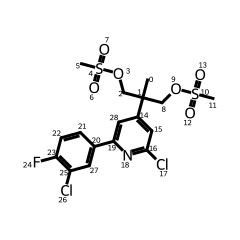 CC(COS(C)(=O)=O)(COS(C)(=O)=O)c1cc(Cl)nc(-c2ccc(F)c(Cl)c2)c1